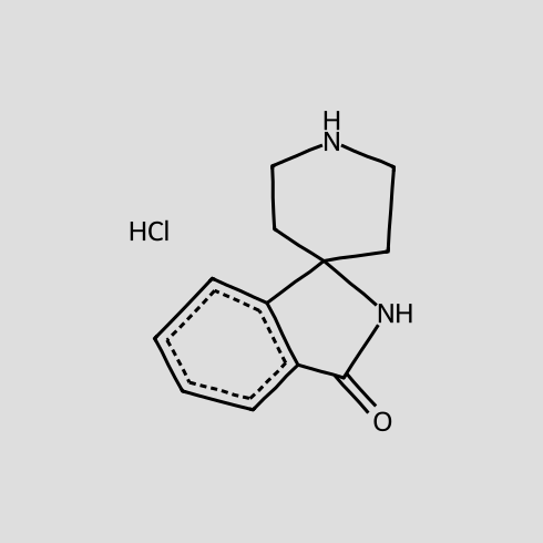 Cl.O=C1NC2(CCNCC2)c2ccccc21